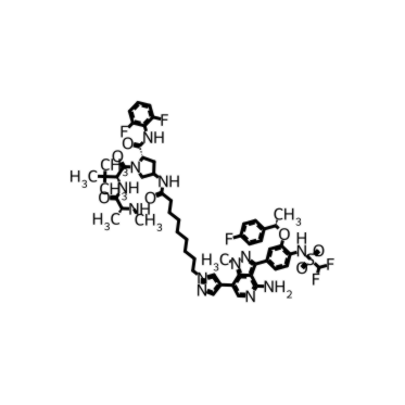 CN[C@@H](C)C(=O)N[C@H](C(=O)N1CC(NC(=O)CCCCCCCCn2cc(-c3cnc(N)c4c(-c5ccc(NS(=O)(=O)C(F)F)c(O[C@@H](C)c6ccc(F)cc6)c5)nn(C)c34)cn2)C[C@H]1C(=O)Nc1c(F)cccc1F)C(C)(C)C